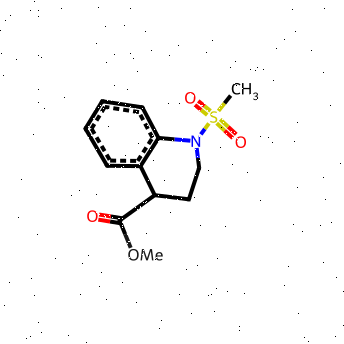 COC(=O)C1CCN(S(C)(=O)=O)c2ccccc21